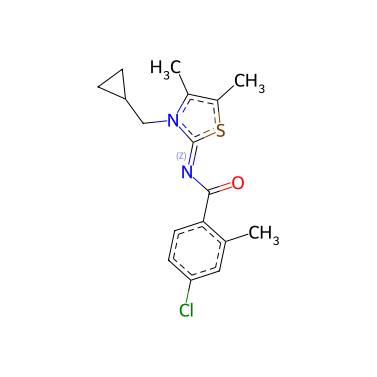 Cc1cc(Cl)ccc1C(=O)/N=c1\sc(C)c(C)n1CC1CC1